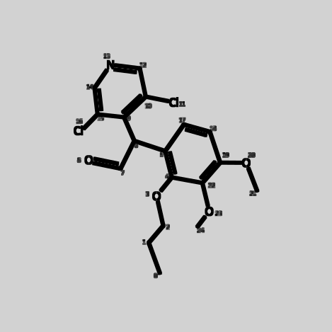 CCCOc1c(C(C=O)c2c(Cl)cncc2Cl)ccc(OC)c1OC